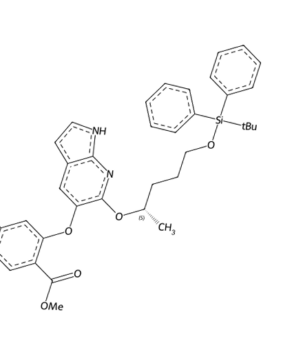 COC(=O)c1ccc(F)cc1Oc1cc2cc[nH]c2nc1O[C@@H](C)CCCO[Si](c1ccccc1)(c1ccccc1)C(C)(C)C